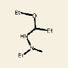 CCOC(CC)NN(C)CC